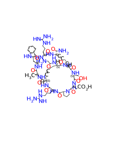 C[C@@H]1NC(=O)[C@@H]2CCCCC[C@H](NC(=O)CN)C(=O)N[C@@H](CCCC[C@@H](C(N)=O)NC(=O)[C@H](CCCNC(=N)N)NC(=O)[C@H](Cc3cc4ccccc4[nH]3)NC1=O)C(=O)N[C@@H](CO)C(=O)N[C@@H](CC(=O)O)C(=O)N1CCCC1C(=O)N[C@@H](CCCNC(=N)N)C(=O)N2